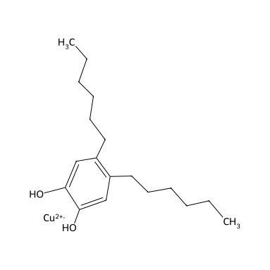 CCCCCCc1cc(O)c(O)cc1CCCCCC.[Cu+2]